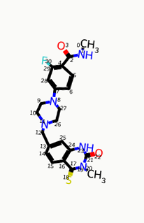 CNC(=O)c1ccc(N2CCN(Cc3ccc4c(=S)n(C)c(=O)[nH]c4c3)CC2)cc1F